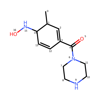 CC1C=C(C(=O)N2CCNCC2)C=CC1NO